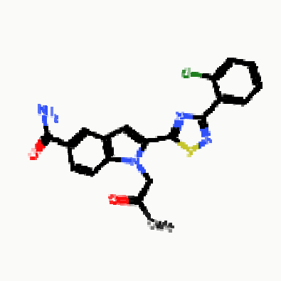 COC(=O)Cn1c(-c2nc(-c3ccccc3Cl)ns2)cc2cc(C(N)=O)ccc21